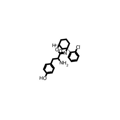 NC(Cc1ccc(O)cc1)C1=N[C@]2(c3ccccc3Cl)CCC[C@H](O1)C2=O